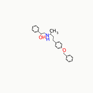 CC(CCc1ccc(OCc2ccccc2)cc1)NCC(O)c1ccccc1